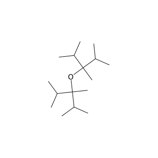 CC(C)C(C)(OC(C)(C(C)C)C(C)C)C(C)C